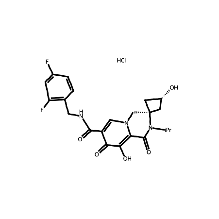 CC(C)N1C(=O)c2c(O)c(=O)c(C(=O)NCc3ccc(F)cc3F)cn2C[C@]12C[C@@H](O)C2.Cl